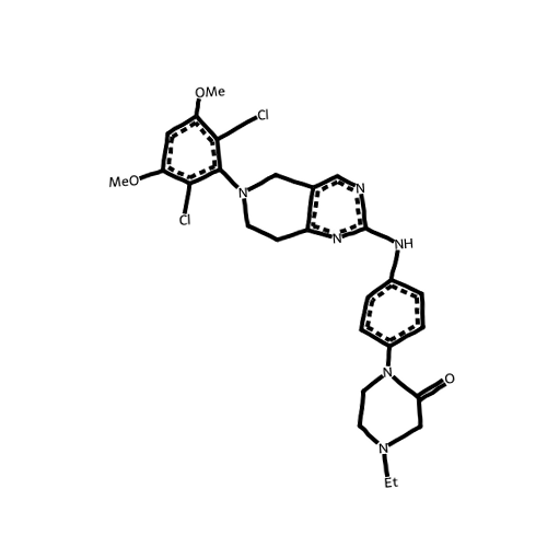 CCN1CCN(c2ccc(Nc3ncc4c(n3)CCN(c3c(Cl)c(OC)cc(OC)c3Cl)C4)cc2)C(=O)C1